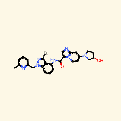 CCc1nn(Cc2cccc(C)n2)c2cccc(NC(=O)c3cnc4cc(N5CC[C@@H](O)C5)ccn34)c12